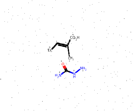 CCC=C(C)C(=O)O.NNC(N)=O